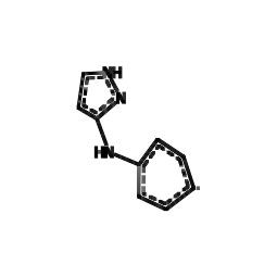 [c]1ccc(Nc2cc[nH]n2)cc1